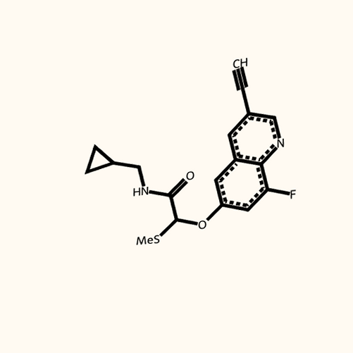 C#Cc1cnc2c(F)cc(OC(SC)C(=O)NCC3CC3)cc2c1